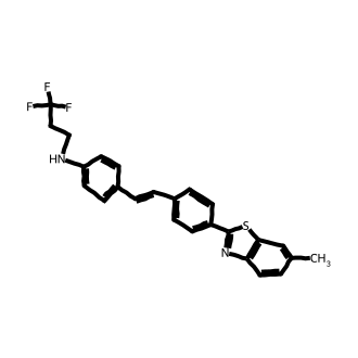 Cc1ccc2nc(-c3ccc(/C=C/c4ccc(NCCC(F)(F)F)cc4)cc3)sc2c1